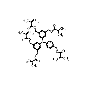 C=C(C)C(=O)OCc1ccc(N(c2cc(COC(=O)C(=C)C)cc(COC(=O)C(=C)C)c2)c2cc(COC(=O)C(=C)C)cc(COC(=O)C(=C)C)c2)cc1